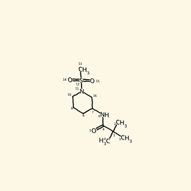 CC(C)(C)C(=O)NC1CCCN(S(C)(=O)=O)C1